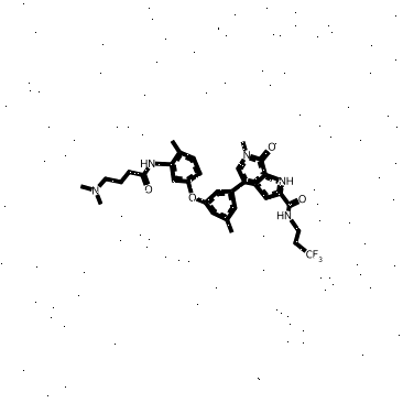 Cc1cc(Oc2ccc(C)c(NC(=O)CCCN(C)C)c2)cc(-c2cn(C)c(=O)c3[nH]c(C(=O)NCCC(F)(F)F)cc23)c1